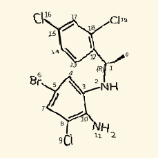 C[C@@H](Nc1cc(Br)cc(Cl)c1N)c1ccc(Cl)cc1Cl